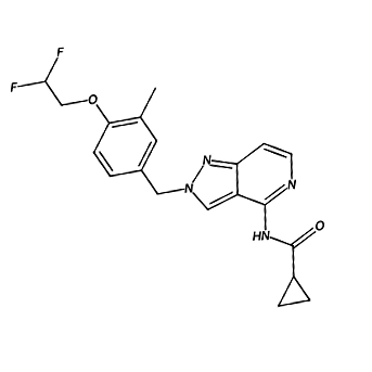 Cc1cc(Cn2cc3c(NC(=O)C4CC4)nccc3n2)ccc1OCC(F)F